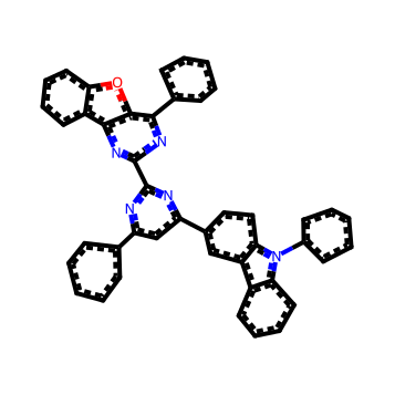 c1ccc(-c2cc(-c3ccc4c(c3)c3ccccc3n4-c3ccccc3)nc(-c3nc(-c4ccccc4)c4oc5ccccc5c4n3)n2)cc1